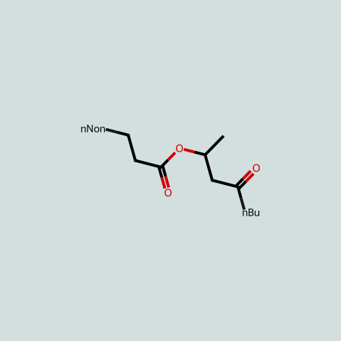 CCCCCCCCCCCC(=O)OC(C)CC(=O)CCCC